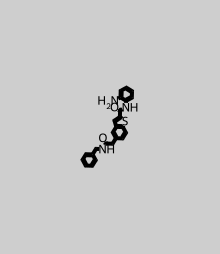 Nc1ccccc1NC(=O)c1cc2cc(CC(=O)NCc3ccccc3)ccc2s1